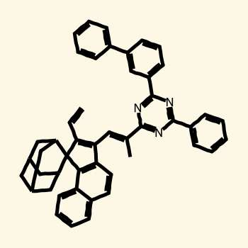 C=CC1=C(/C=C(\C)c2nc(-c3ccccc3)nc(-c3cccc(-c4ccccc4)c3)n2)c2ccc3ccccc3c2C12C1CC3CC(C1)CC2C3